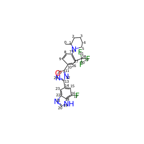 CC1CCCCN1c1ccc(-c2nc(-c3cc(F)c4[nH]cnc4c3)no2)cc1C(F)(F)F